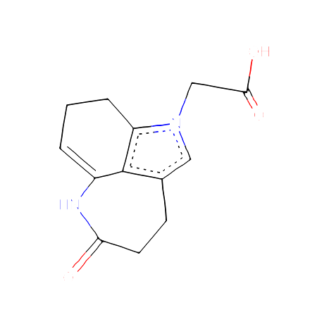 O=C(O)Cn1cc2c3c1CCC=C3NC(=O)CC2